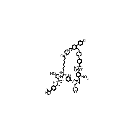 Cc1ncsc1-c1ccc([C@H](C)NC(=O)[C@@H]2C[C@@H](O)CN2C(=O)[C@@H](NCCCCCCCC(=O)N2CCN(CC3(C)CCC(c4ccc(Cl)cc4)=C(CN4CCN(c5ccc(C(=O)NS(=O)(=O)c6ccc(N[C@H](CCN7CCOCC7)CSc7ccccc7)c([N+](=O)[O-])c6)cc5)CC4)C3)CC2)C(C)(C)C)cc1